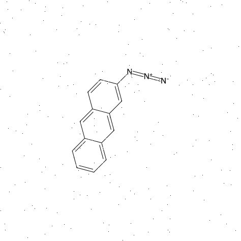 [N-]=[N+]=Nc1ccc2cc3ccccc3cc2c1